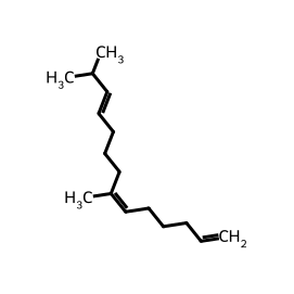 C=CCCCC=C(C)CCCC=CC(C)C